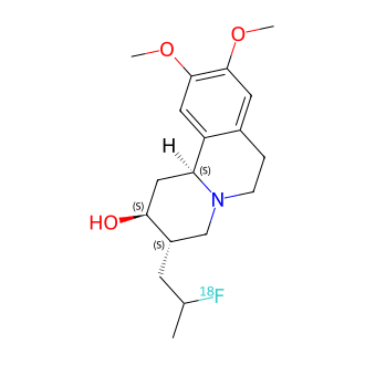 COc1cc2c(cc1OC)[C@@H]1C[C@H](O)[C@@H](CC(C)[18F])CN1CC2